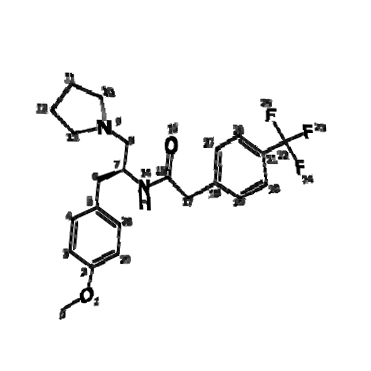 COc1ccc(C[C@@H](CN2CCCC2)NC(=O)Cc2ccc(C(F)(F)F)cc2)cc1